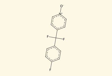 [O-][n+]1ccc(C(F)(F)c2ccc(F)cc2)cc1